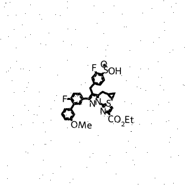 CCOC(=O)c1csc(-n2nc(-c3ccc(F)c(-c4cccc(OC)c4)c3)c(Cc3ccc(S(=O)O)c(F)c3)c2CC2CC2)n1